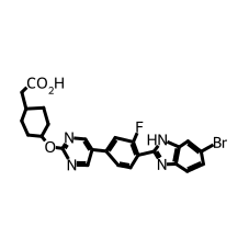 O=C(O)CC1CCC(Oc2ncc(-c3ccc(-c4nc5ccc(Br)cc5[nH]4)c(F)c3)cn2)CC1